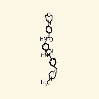 CN1CCN(Cc2ccc(-c3nc4cc(NC(=O)c5ccc(N6CCOCC6)cc5)ccc4[nH]3)cc2)CC1